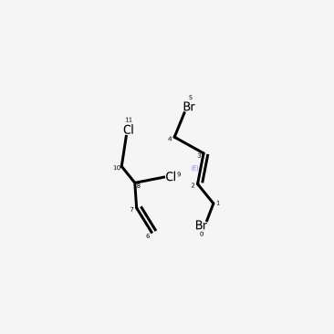 BrC/C=C/CBr.C=CC(Cl)CCl